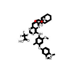 C=CC(=O)N1C2C=C(c3ccc4ncnc(Nc5cc(C)c(Oc6ccc7c(c6)nnn7C)cc5OC)c4n3)CC1CCC2.O=C(O)C(F)(F)F